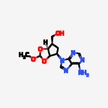 COC1OC2[C@@H](O1)[C@@H](CO)C[C@H]2n1cnc2c(N)ncnc21